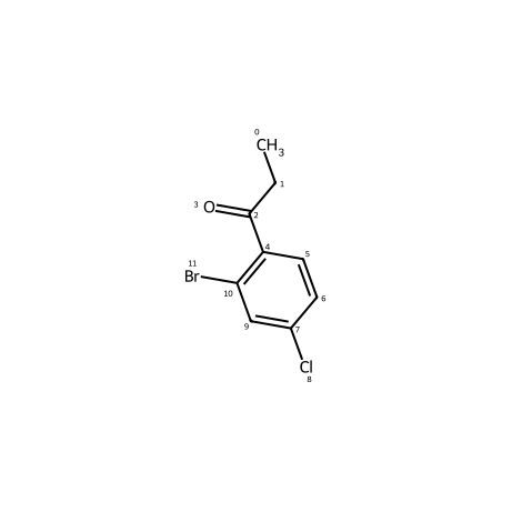 CCC(=O)c1ccc(Cl)cc1Br